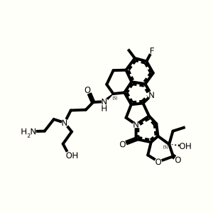 CC[C@@]1(O)C(=O)OCc2c1cc1n(c2=O)Cc2c-1nc1cc(F)c(C)c3c1c2[C@@H](NC(=O)CCN(CCN)CCO)CC3